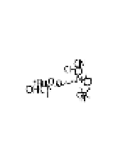 Cc1ccc(Cc2c(C)noc2C)cc1N(CCCCCOCC(=O)NC(C=O)C(C)(C)C)c1ccc(C#N)c(Cl)c1